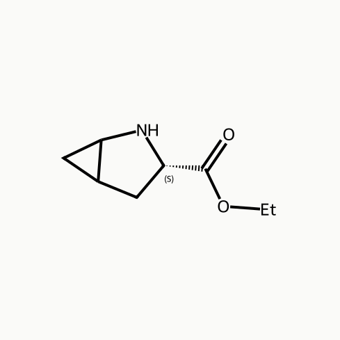 CCOC(=O)[C@@H]1CC2CC2N1